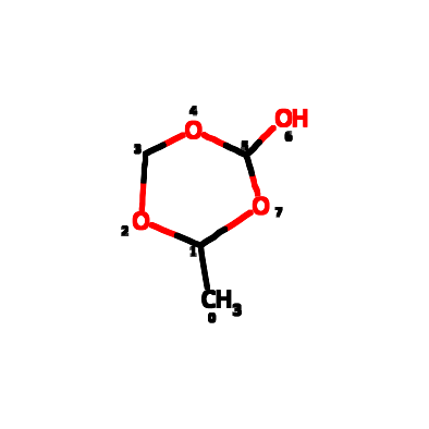 CC1OCOC(O)O1